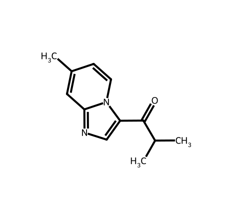 Cc1ccn2c(C(=O)C(C)C)cnc2c1